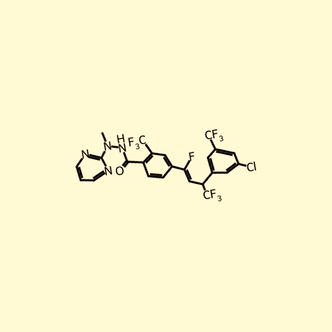 CN(NC(=O)c1ccc(C(F)=CC(c2cc(Cl)cc(C(F)(F)F)c2)C(F)(F)F)cc1C(F)(F)F)c1ncccn1